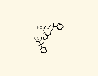 CC(CCCC(=O)CCCC(C)(CCC(=O)O)c1ccccc1)(CCC(=O)O)c1ccccc1